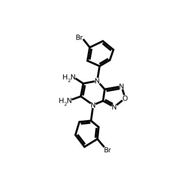 NC1=C(N)N(c2cccc(Br)c2)c2nonc2N1c1cccc(Br)c1